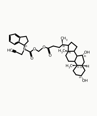 C#CCN(C(=O)OCOC(=O)CC[C@@H](C)C1CCC2C3C(CC[C@@]21C)[C@@]1(C)CC[C@@H](O)C[C@H]1C[C@H]3O)[C@@H]1CCc2ccccc21